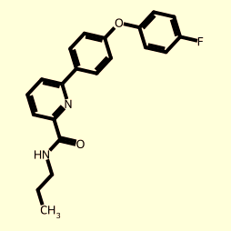 CCCNC(=O)c1cccc(-c2ccc(Oc3ccc(F)cc3)cc2)n1